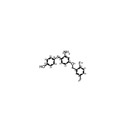 Nc1cc(OCc2cc(F)ccc2F)ccc1Sc1ccc(O)cc1